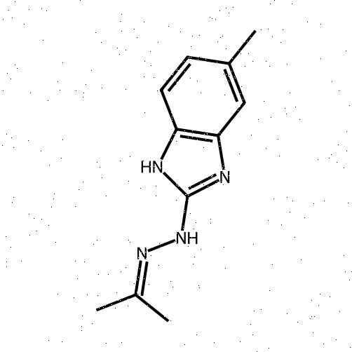 CC(C)=NNc1nc2cc(C)ccc2[nH]1